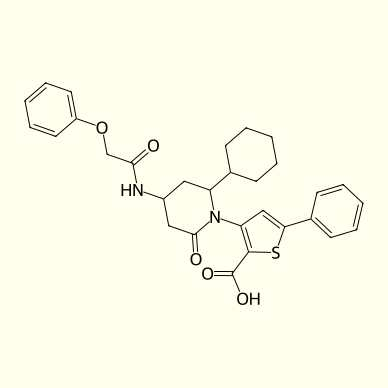 O=C(COc1ccccc1)NC1CC(=O)N(c2cc(-c3ccccc3)sc2C(=O)O)C(C2CCCCC2)C1